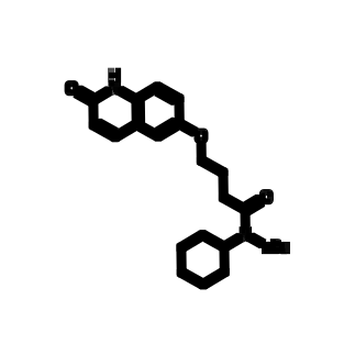 CCCCN(C(=O)CCCOc1ccc2[nH]c(=O)ccc2c1)C1CCCCC1